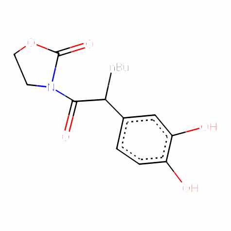 CCCCC(C(=O)N1CCOC1=O)c1ccc(O)c(O)c1